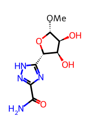 CO[C@H]1O[C@@H](c2nc(C(N)=O)n[nH]2)[C@H](O)[C@@H]1O